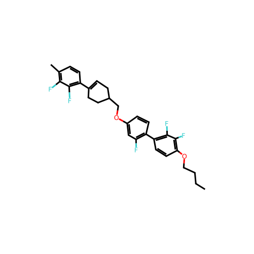 CCCCOc1ccc(-c2ccc(OCC3CC=C(c4ccc(C)c(F)c4F)CC3)cc2F)c(F)c1F